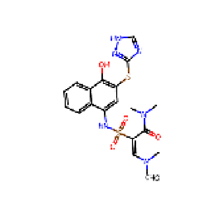 CN(C=O)/C=C(\C(=O)N(C)C)S(=O)(=O)Nc1cc(Sc2nc[nH]n2)c(O)c2ccccc12